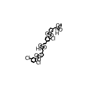 C=CS(=O)(=O)NCC1CCN(S(=O)(=O)c2ccc(/C=C/S(=O)(=O)NCC3CCN(S(=O)(=O)c4cc(Cl)ccc4Cl)C3)cc2Cl)C1